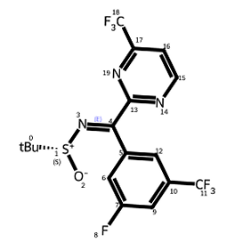 CC(C)(C)[S@@+]([O-])/N=C(\c1cc(F)cc(C(F)(F)F)c1)c1nccc(C(F)(F)F)n1